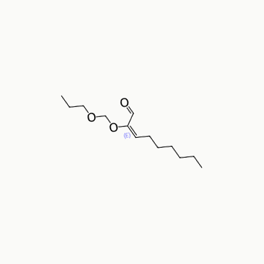 CCCCCC/C=C(\C=O)OCOCCC